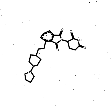 O=C1CCC(N2C(=O)c3cccc(CCC4CCC(C5CCCC5)CC4)c3C2=O)C(=O)N1